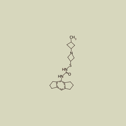 CC1CC(N2CC(SNC(=O)Nc3c4c(cc5c3CCC5)CCC4)C2)C1